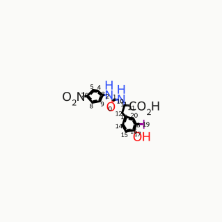 O=C(Nc1ccc([N+](=O)[O-])cc1)NC(Cc1ccc(O)c(I)c1)C(=O)O